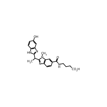 CC(c1nc2cc(O)ccc2[nH]1)c1nc2ccc(C(=O)NCCCC(=O)O)cc2n1C